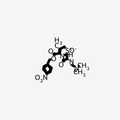 CC1=C(C(=O)OCc2ccc([N+](=O)[O-])cc2)N2C(=O)[C@@H](N=CN(C)C)[C@@H]2[S@+]([O-])C1